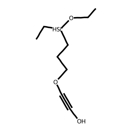 CCO[SiH](CC)CCCOC#CO